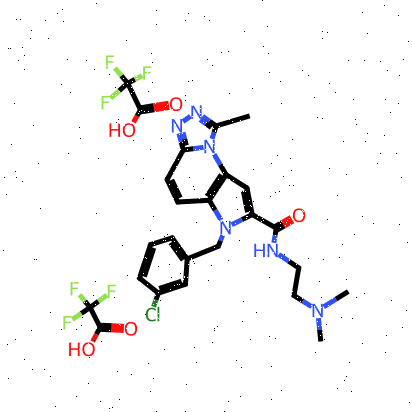 Cc1nnc2ccc3c(cc(C(=O)NCCN(C)C)n3Cc3cccc(Cl)c3)n12.O=C(O)C(F)(F)F.O=C(O)C(F)(F)F